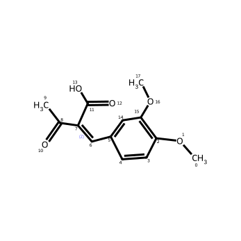 COc1ccc(/C=C(/C(C)=O)C(=O)O)cc1OC